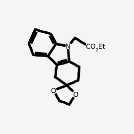 CCOC(=O)Cn1c2c(c3ccccc31)CC1(CC2)OCCO1